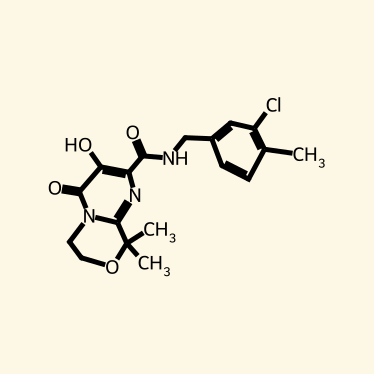 Cc1ccc(CNC(=O)c2nc3n(c(=O)c2O)CCOC3(C)C)cc1Cl